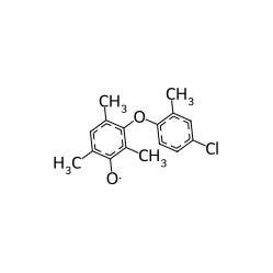 Cc1cc(Cl)ccc1Oc1c(C)cc(C)c([O])c1C